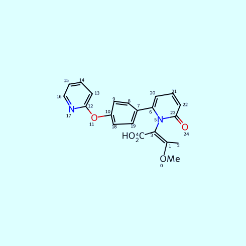 COC(C)=C(C(=O)O)n1c(-c2ccc(Oc3ccccn3)cc2)cccc1=O